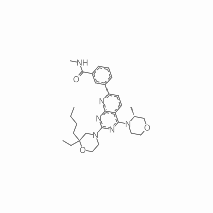 CCCCC1(CC)CN(c2nc(N3CCOC[C@@H]3C)c3ccc(-c4cccc(C(=O)NC)c4)nc3n2)CCO1